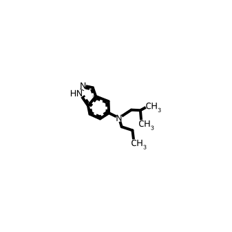 CCCN(CC(C)C)c1ccc2[nH]ncc2c1